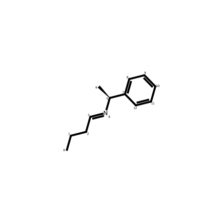 CCC/C=N/[C@@H](C)c1ccccc1